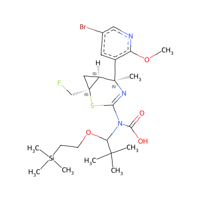 COc1ncc(Br)cc1[C@@]1(C)N=C(N(C(=O)O)C(OCC[Si](C)(C)C)C(C)(C)C)S[C@@]2(CF)C[C@H]21